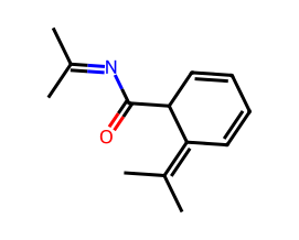 CC(C)=NC(=O)C1C=CC=CC1=C(C)C